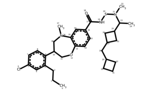 CCCc1cc(Cl)ccc1C1COc2ccc(C(=O)NSN(C)C(C)C3CC(CC4CCC4)C3)cc2N(C)C1